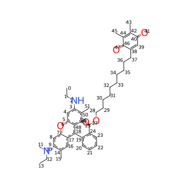 CCNc1cc2oc3c/c(=[N+](\C)CC)c(C)cc-3c(-c3ccccc3C(=O)OCCCCCCCCCCC3=CC(=O)C(C)=C(C)C3=O)c2cc1C